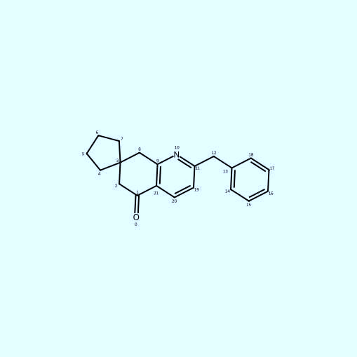 O=C1CC2(CCCC2)Cc2nc(Cc3ccccc3)ccc21